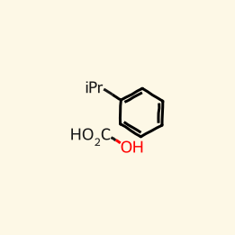 CC(C)c1ccccc1.O=C(O)O